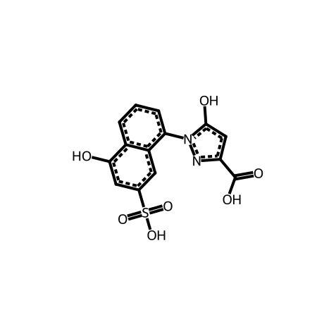 O=C(O)c1cc(O)n(-c2cccc3c(O)cc(S(=O)(=O)O)cc23)n1